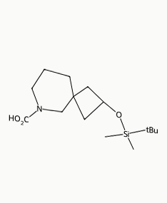 CC(C)(C)[Si](C)(C)OC1CC2(CCCN(C(=O)O)C2)C1